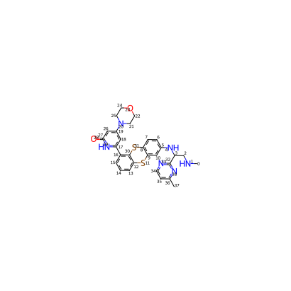 CNCC(Nc1ccc2c(c1)Sc1cccc(-c3cc(N4CCOCC4)cc(=O)[nH]3)c1S2)c1nccc(C)n1